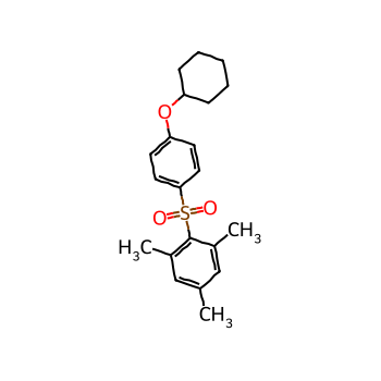 Cc1cc(C)c(S(=O)(=O)c2ccc(OC3CCCCC3)cc2)c(C)c1